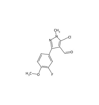 COc1ccc(-c2nn(C)c(Cl)c2C=O)cc1F